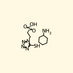 NC1CCCCC1.O=S(=O)(O)CCn1nnnc1S